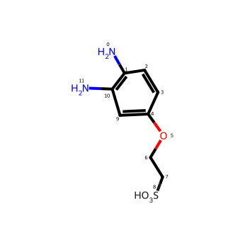 Nc1ccc(OCCS(=O)(=O)O)cc1N